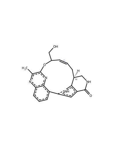 Cc1nc2cccc3c2nc1OC(CO)/C=C\C[C@H]1CNC(=O)c2cc-3[nH]c21